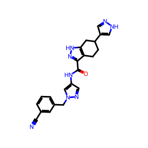 N#Cc1cccc(Cn2cc(NC(=O)c3n[nH]c4c3CCC(c3cn[nH]c3)C4)cn2)c1